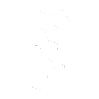 CS(=O)(=O)N(c1ccc(C(=O)c2ccccc2F)c(N)n1)C1CCNCC1